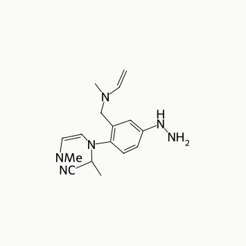 C=CN(C)Cc1cc(NN)ccc1N(/C=C\NC)C(C)C#N